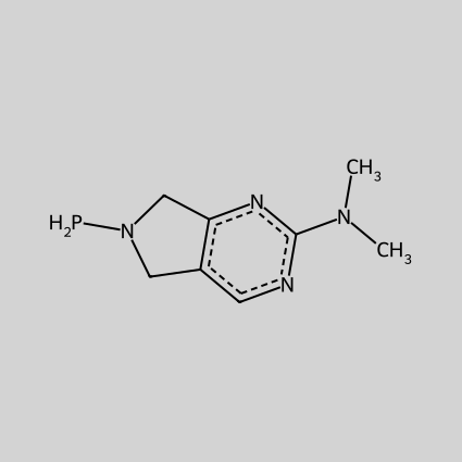 CN(C)c1ncc2c(n1)CN(P)C2